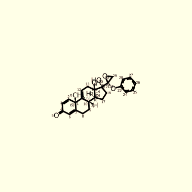 C[C@]12C=CC(=O)C=C1CC[C@@H]1C2=CC[C@@]2(C)[C@H]1CC[C@]2(O)[C@]1(Oc2ccccc2)CO1